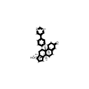 C[C@]12C[C@H](c3ccc(-c4cncnc4)cc3)[C@H]3[C@@H](CCC4=CC(=O)CC[C@@H]43)[C@@H]1CC[C@@H]2O